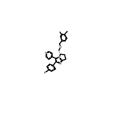 Cc1ccc(COC[C@@H]2CCc3nc(-c4ccc(F)cc4)c(-c4ccncc4)n32)cc1C